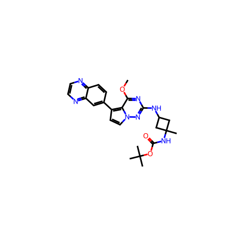 COc1nc(NC2CC(C)(NC(=O)OC(C)(C)C)C2)nn2ccc(-c3ccc4nccnc4c3)c12